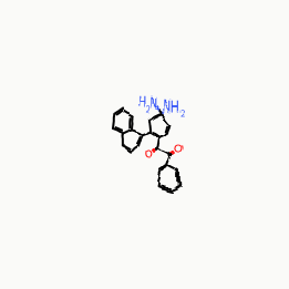 NC1(N)C=CC(C(=O)C(=O)c2ccccc2)=C(c2cccc3ccccc23)C1